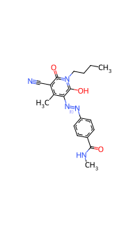 CCCCn1c(O)c(/N=N/c2ccc(C(=O)NC)cc2)c(C)c(C#N)c1=O